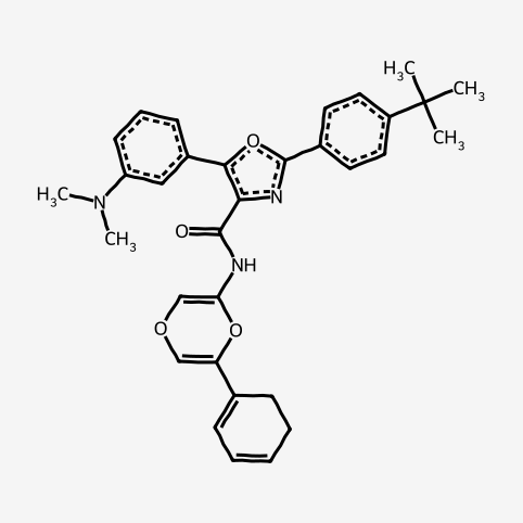 CN(C)c1cccc(-c2oc(-c3ccc(C(C)(C)C)cc3)nc2C(=O)NC2=COC=C(C3=CC=CCC3)O2)c1